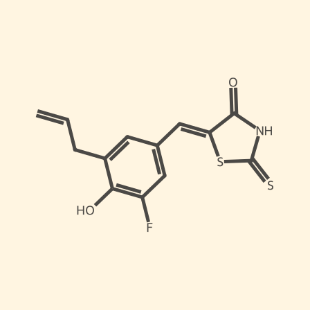 C=CCc1cc(/C=C2\SC(=S)NC2=O)cc(F)c1O